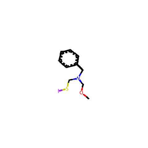 COCN(CSI)Cc1ccccc1